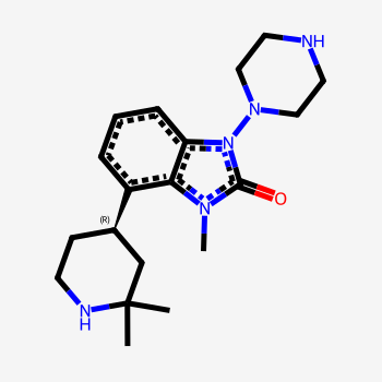 Cn1c(=O)n(N2CCNCC2)c2cccc([C@@H]3CCNC(C)(C)C3)c21